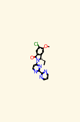 CC[C@@H]1c2cc(OC)c(Cl)cc2C(=O)N1c1ccnc(-c2ncccn2)n1